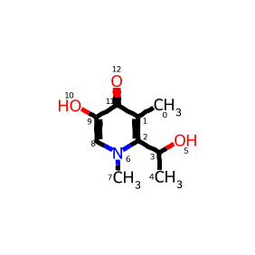 Cc1c(C(C)O)n(C)cc(O)c1=O